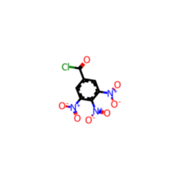 O=C(Cl)c1cc([N+](=O)[O-])c([N+](=O)[O-])c([N+](=O)[O-])c1